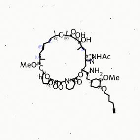 C#CCCCCO[C@@H]1CC[C@@H](C[C@@H](N)[C@@H]2C/C(=N/NC(C)=O)[C@H](C)/C=C(\C)[C@@H](O)[C@@H](O)C(=O)[C@H](C)C[C@H](C)/C=C/C=C/C=C(\C)[C@@H](OC)C[C@@H]3CC[C@@H](C)[C@@](O)(O3)C(=O)C(=O)N3CCCC[C@H]3C(=O)O2)C[C@H]1OC